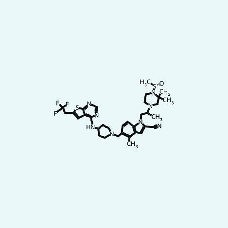 Cc1c(CN2CCC(Nc3ncnc4sc(CC(F)(F)F)cc34)CC2)ccc2c1cc(C#N)n2CC(C)N1CCN([S+](C)[O-])C(C)(C)C1